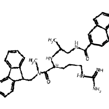 CC(CNC(=O)c1ccc2ccccc2c1)N[C@@H](CCCNC(=N)N)C(=O)N(C)CC1c2ccccc2-c2ccccc21